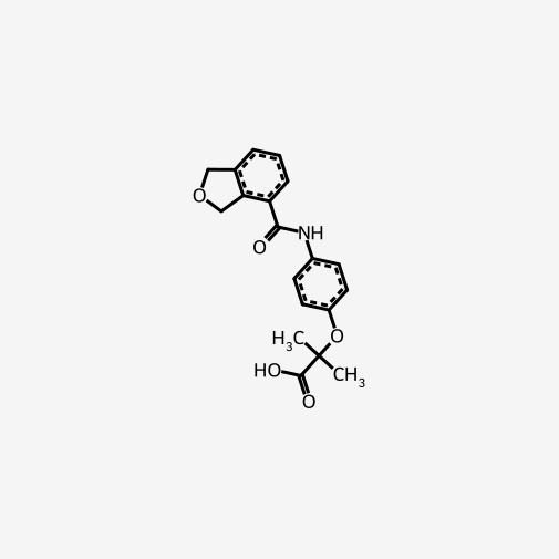 CC(C)(Oc1ccc(NC(=O)c2cccc3c2COC3)cc1)C(=O)O